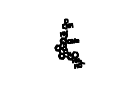 COc1nc(-c2cccc(-c3cccc(-c4ccc5c(n4)CCC[C@H]5NCC(C)O)c3Cl)c2Cl)ccc1CNC[C@@H]1CCC(=O)N1